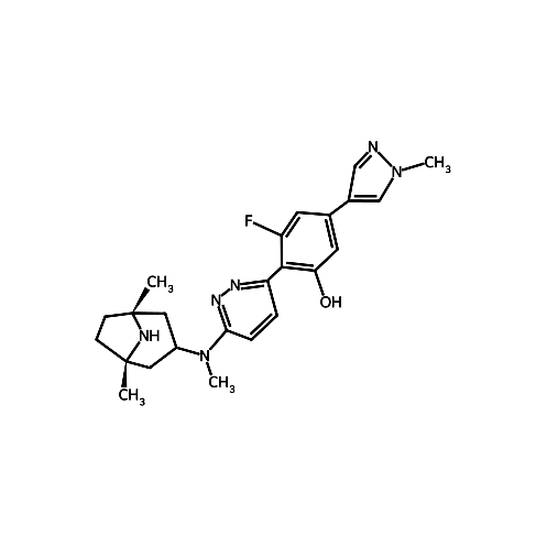 CN(c1ccc(-c2c(O)cc(-c3cnn(C)c3)cc2F)nn1)C1C[C@]2(C)CC[C@](C)(C1)N2